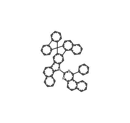 c1ccc(-c2nc(-n3c4cc5c(cc4c4ccc6ccccc6c43)C3(c4ccccc4-c4ccccc43)c3ccc4ccccc4c3-5)nc3ccc4ccccc4c23)cc1